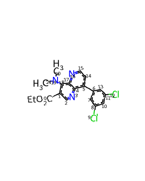 CCOC(=O)c1cnc2c(-c3cc(Cl)cc(Cl)c3)ccnc2c1N(C)C